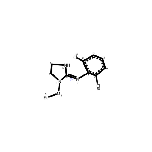 CCON1CCN/C1=N\c1c(Cl)cccc1Cl